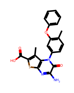 Cc1ccc(-n2c(=O)c(N)nc3sc(C(=O)O)c(C)c32)cc1Oc1ccccc1